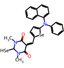 CN1C(=O)C(=Cc2ccc(N(c3ccccc3)c3cccc4ccccc34)[se]2)C(=O)N(C)C1[SeH]